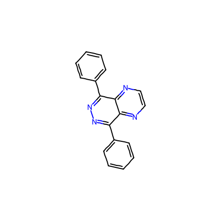 c1ccc(-c2nnc(-c3ccccc3)c3nccnc23)cc1